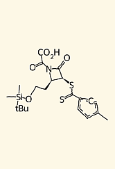 Cc1ccc(C(=S)S[C@@H]2C(=O)N(C(=O)C(=O)O)[C@@H]2CCO[Si](C)(C)C(C)(C)C)cc1